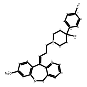 COc1ccc2c(c1)OCc1cccnc1C2=CCCN1CCC(O)(c2ccc(Cl)cc2)CC1